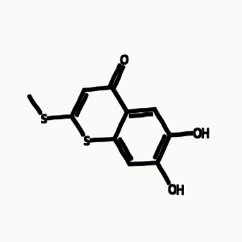 CSc1cc(=O)c2cc(O)c(O)cc2s1